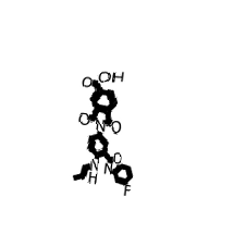 CCCNc1ccc(N2C(=O)c3ccc(C(=O)O)cc3C2=O)cc1-c1nc2cc(F)ccc2o1